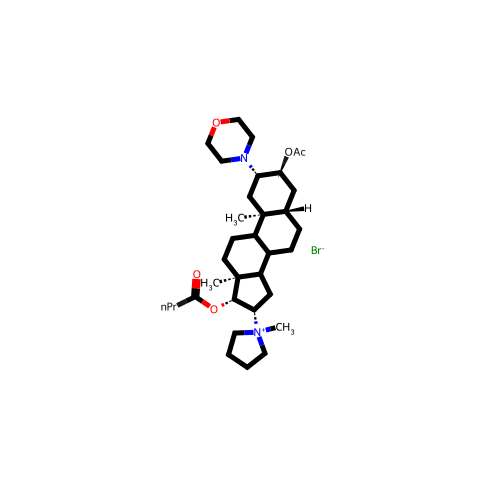 CCCC(=O)O[C@H]1[C@@H]([N+]2(C)CCCC2)CC2C3CC[C@H]4C[C@H](OC(C)=O)[C@@H](N5CCOCC5)C[C@]4(C)C3CC[C@@]21C.[Br-]